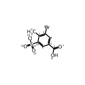 Cc1c(Br)cc(C(=O)O)cc1S(=O)(=O)Cl